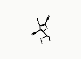 CCC([S+]=O)c1sc(C#N)c(OC)c1C#N